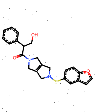 O=C(C(CO)c1ccccc1)N1CC2=C(CN(Sc3ccc4occc4c3)C2)C1